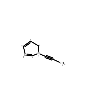 CC#CN1C=NC=CC1